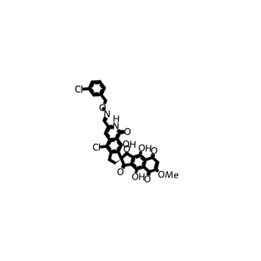 COC1=CC(=O)c2c(O)c3c(c(O)c2C1=O)C(=O)[C@]1(CCc2c1c(O)c1c(=O)[nH]c(/C=N/OCc4cccc(Cl)c4)cc1c2Cl)C3=O